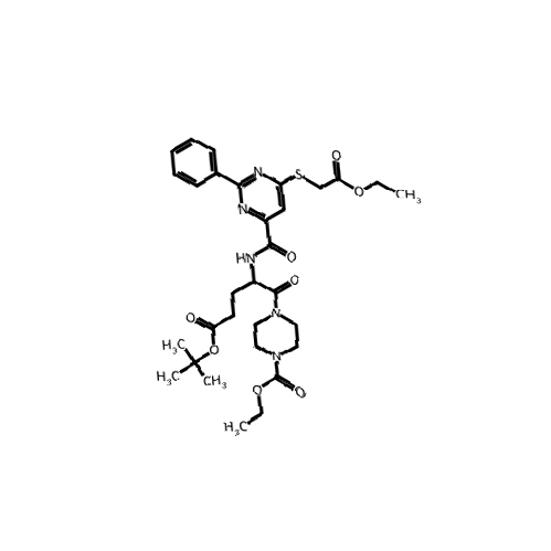 CCOC(=O)CSc1cc(C(=O)NC(CCC(=O)OC(C)(C)C)C(=O)N2CCN(C(=O)OCC)CC2)nc(-c2ccccc2)n1